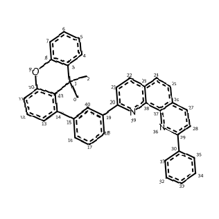 CC1(C)c2ccccc2Oc2cccc(-c3cccc(-c4ccc5ccc6ccc(-c7ccccc7)nc6c5n4)c3)c21